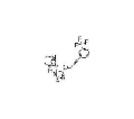 FC(F)(F)c1cccc(C#CCOc2nsnc2[C@H]2CN3CCC[C@H]2C3)c1